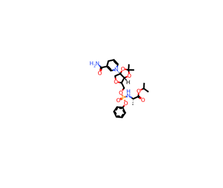 CC(C)OC(=O)[C@H](C)NP(=O)(OCC1OC[C@@]2(N3C=CCC(C(N)=O)=C3)OC(C)(C)O[C@H]12)Oc1ccccc1